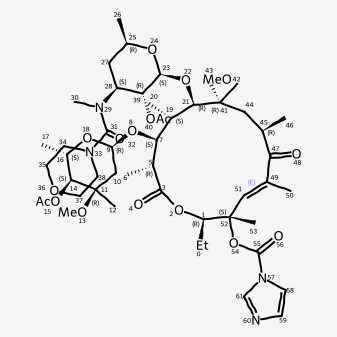 CC[C@H]1OC(=O)[C@H](C)[C@@H](O[C@H]2C[C@@](C)(OC)[C@@H](OC(C)=O)[C@H](C)O2)[C@H](C)[C@@H](O[C@@H]2O[C@H](C)C[C@H](N(C)C(=O)N3CCOCC3)[C@H]2OC(C)=O)[C@](C)(OC)C[C@@H](C)C(=O)/C(C)=C/[C@]1(C)OC(=O)n1ccnc1